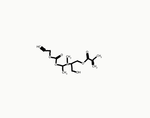 C#CCOC(=O)OC(C)N(C)C(CO)COC(=O)C(=C)C